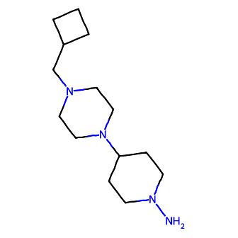 NN1CCC(N2CCN(CC3CCC3)CC2)CC1